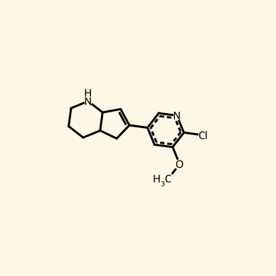 COc1cc(C2=CC3NCCCC3C2)cnc1Cl